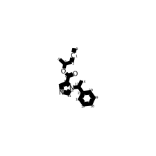 C=C=CC(C)OC(=O)c1cncn1C(C)c1ccccc1